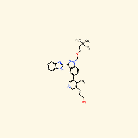 Cc1c(CCCO)cncc1-c1ccc2c(c1)c(-c1nc3ccccc3[nH]1)nn2COCC[Si](C)(C)C